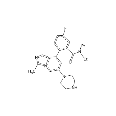 CCN(C(=O)c1cc(F)ccc1-c1cc(N2CCNCC2)cn2c(C)ncc12)C(C)C